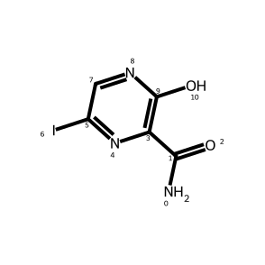 NC(=O)c1nc(I)cnc1O